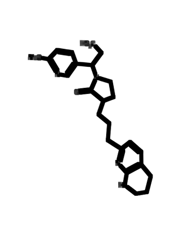 COc1ccc(C(CC(=O)O)N2CCC(CCCc3ccc4c(n3)NCCC4)C2=O)cn1